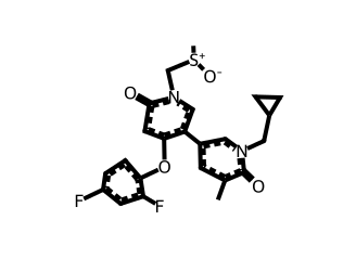 Cc1cc(-c2cn(C[S+](C)[O-])c(=O)cc2Oc2ccc(F)cc2F)cn(CC2CC2)c1=O